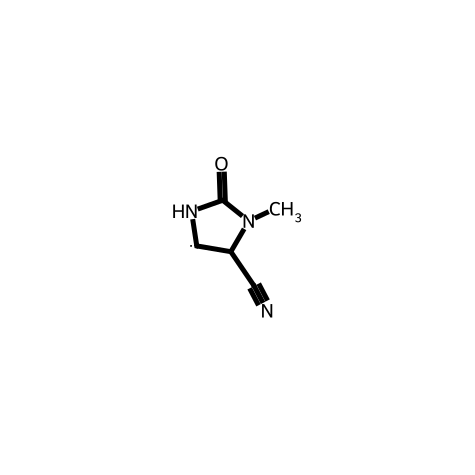 CN1C(=O)N[CH]C1C#N